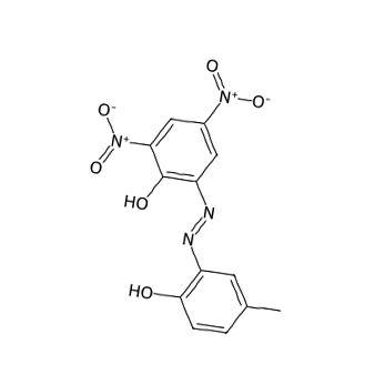 Cc1ccc(O)c(N=Nc2cc([N+](=O)[O-])cc([N+](=O)[O-])c2O)c1